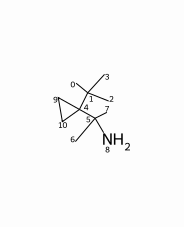 CC(C)(C)C1(C(C)(C)N)CC1